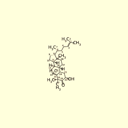 CC(C)=CCC[C@@H](C)[C@H]1CC[C@H]2[C@@H]3CC=C4C(C)(C)C(=O)[C@H](O)C[C@]4(C)[C@H]3CC[C@]12C